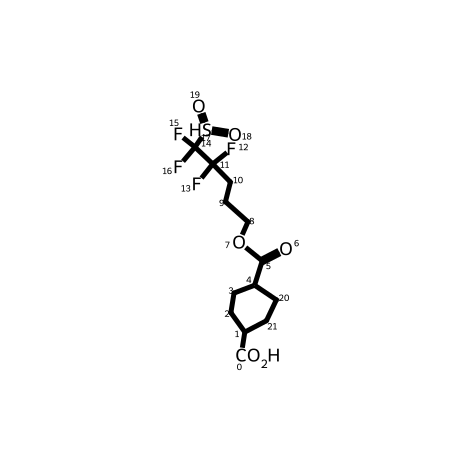 O=C(O)C1CCC(C(=O)OCCCC(F)(F)C(F)(F)[SH](=O)=O)CC1